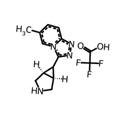 Cc1ccc2nnc(C3[C@H]4CNC[C@@H]34)n2c1.O=C(O)C(F)(F)F